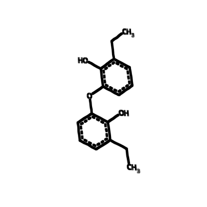 CCc1cccc(Oc2cccc(CC)c2O)c1O